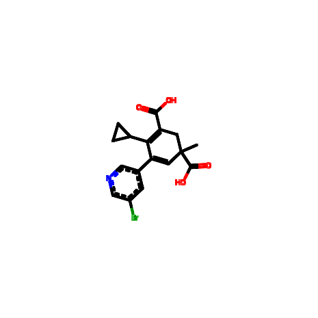 CC1(C(=O)O)C=C(c2cncc(Br)c2)C(C2CC2)=C(C(=O)O)C1